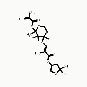 C=C(C)C(=O)OC1(C)OCOC(O/C=C(\C)C(=O)OC2COC(O)(C(F)(F)F)C2)(C(F)(F)F)C1(F)F